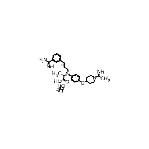 CC(=N)N1CCC(Oc2ccc(N(C/C=C/c3cccc(C(=N)N)c3)C(C)C(=O)O)cc2)CC1.Cl.Cl.Cl